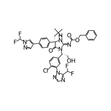 CC(C)(C)C[C@]1(c2ccc(-c3cnn(C(F)F)c3)cc2)NC(=NC(=O)OCc2ccccc2)N([C@H](CO)c2ccc(Cl)c(-n3ncnc3C(F)F)c2)C1=O